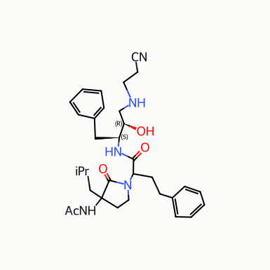 CC(=O)NC1(CC(C)C)CCN(C(CCc2ccccc2)C(=O)N[C@@H](Cc2ccccc2)[C@H](O)CNCCC#N)C1=O